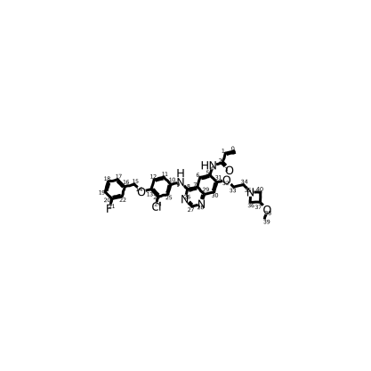 C=CC(=O)Nc1cc2c(Nc3ccc(OCc4cccc(F)c4)c(Cl)c3)ncnc2cc1OCCN1CC(OC)C1